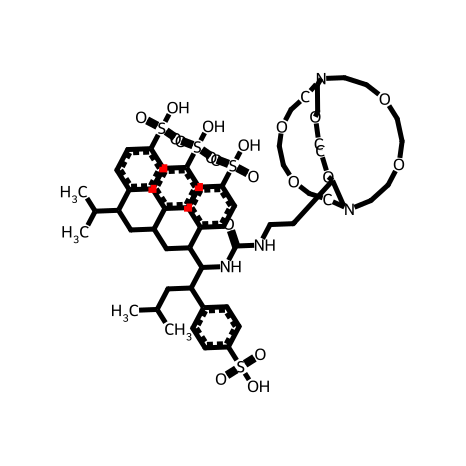 CC(C)CC(c1ccc(S(=O)(=O)O)cc1)C(NC(=O)NCCC1CN2CCOCCOCCN(CCOCCOCC2)CCOCCO1)C(CC(CC(c1ccc(S(=O)(=O)O)cc1)C(C)C)c1ccc(S(=O)(=O)O)cc1)c1ccc(S(=O)(=O)O)cc1